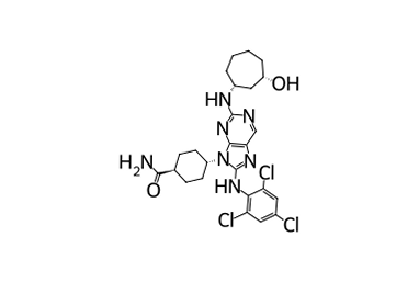 NC(=O)[C@H]1CC[C@H](n2c(Nc3c(Cl)cc(Cl)cc3Cl)nc3cnc(N[C@@H]4CCCC[C@H](O)C4)nc32)CC1